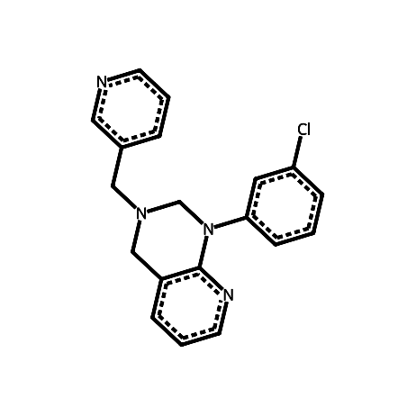 Clc1cccc(N2CN(Cc3cccnc3)Cc3cccnc32)c1